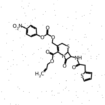 C=CCOC(=O)C1=C(COC(=O)Oc2ccc([N+](=O)[O-])cc2)CSC2C(NC(=O)Cc3cccs3)C(=O)N12